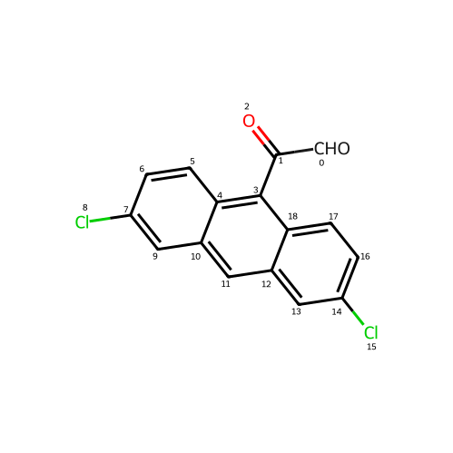 O=CC(=O)c1c2ccc(Cl)cc2cc2cc(Cl)ccc12